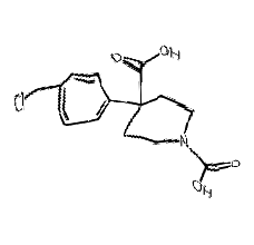 O=C(O)N1CCC(C(=O)O)(c2ccc(Cl)cc2)CC1